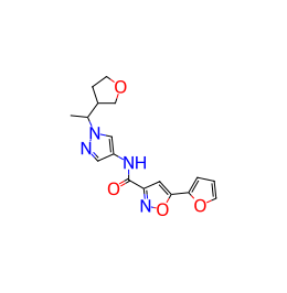 CC(C1CCOC1)n1cc(NC(=O)c2cc(-c3ccco3)on2)cn1